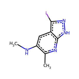 CNc1cc2c(I)n[nH]c2nc1C